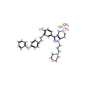 CS(=O)(=O)N1CCc2c(c(-c3ccc(Cl)c(CCc4ccc(Oc5ccccc5)cc4)c3)nn2CCCN2CCOCC2)C1